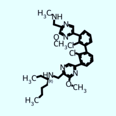 CCCC[C@@H](CC)NCc1ncc(-c2cccc(-c3cccc(-c4cnc(CNC)c(OC)n4)c3Cl)c2Cl)nc1OC